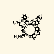 CN1C(=O)[C@H](CCCCN)NC(=O)[C@H](CCCN)NCc2cccnc2Sc2c(Cl)ccc(-c3ccn(CC(=O)O)c(=O)c3)c2CNC(=O)[C@@H]1Cc1c[nH]c2ccccc12